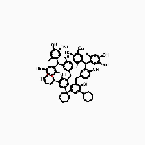 Cc1cc(O)c(C(C)(C)C)cc1C(c1cc(C(C)(C)C)c(O)cc1C)c1cc(Cc2cc(C3(c4cc(Cc5ccc(O)c(C(c6cc(C(C)(C)C)c(O)cc6C)c6cc(C(C)(C)C)c(O)cc6C)c5)c(O)c(C5CCCCC5)c4)CCCCC3)cc(C3CCCCC3)c2O)ccc1O